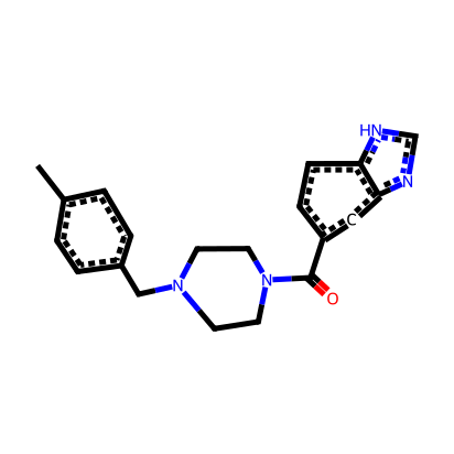 Cc1ccc(CN2CCN(C(=O)c3ccc4[nH]cnc4c3)CC2)cc1